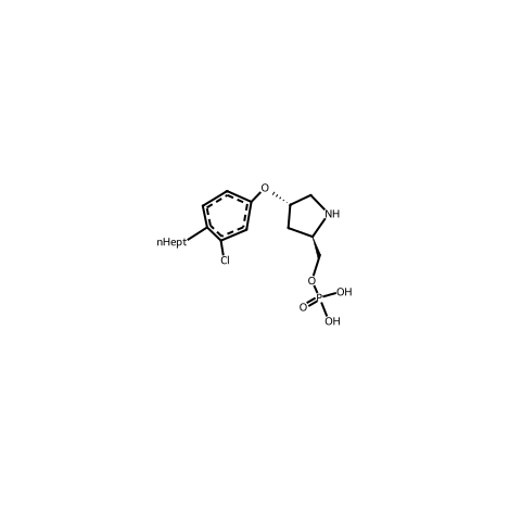 CCCCCCCc1ccc(O[C@@H]2CN[C@@H](COP(=O)(O)O)C2)cc1Cl